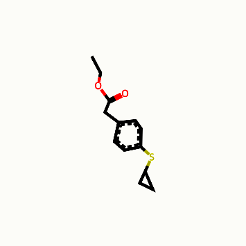 CCOC(=O)Cc1ccc(SC2CC2)cc1